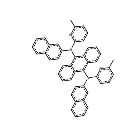 Cc1cccc(N(c2ccc3ccccc3c2)c2c3ccccc3c(N(c3ccc4ccccc4c3)c3cccc(C)n3)c3ccccc23)n1